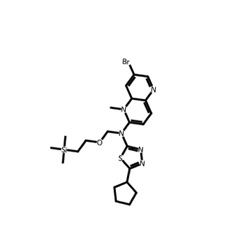 CN1C(N(COCC[Si](C)(C)C)c2nnc(C3CCCC3)s2)=CC=C2N=CC(Br)=CC21